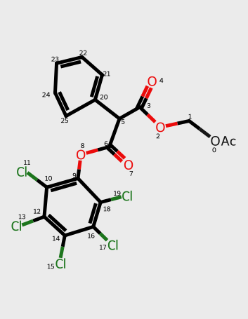 CC(=O)OCOC(=O)C(C(=O)Oc1c(Cl)c(Cl)c(Cl)c(Cl)c1Cl)c1ccccc1